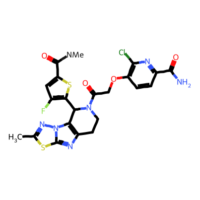 CNC(=O)c1cc(F)c(C2c3c(nc4sc(C)nn34)CCN2C(=O)COc2ccc(C(N)=O)nc2Cl)s1